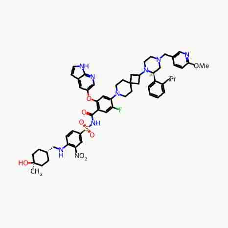 COc1ccc(CN2CCN(C3CC4(CCN(c5cc(Oc6cnc7[nH]ccc7c6)c(C(=O)NS(=O)(=O)c6ccc(NC[C@H]7CC[C@](C)(O)CC7)c([N+](=O)[O-])c6)cc5F)CC4)C3)[C@H](c3ccccc3C(C)C)C2)cn1